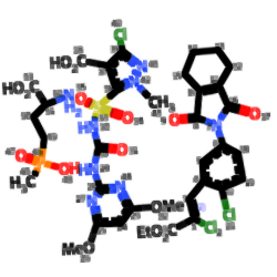 CCOC(=O)/C(Cl)=C/c1cc(N2C(=O)C3=C(CCCC3)C2=O)ccc1Cl.COc1cc(OC)nc(NC(=O)NS(=O)(=O)c2c(C(=O)O)c(Cl)nn2C)n1.CP(=O)(O)CCC(N)C(=O)O